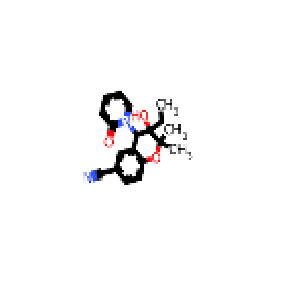 CCC1(O)C(n2ccccc2=O)c2cc(C#N)ccc2OC1(C)C